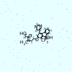 CN(CCOc1cc(-c2cncnc2)c2c(c1)C(O)(C(F)(F)F)c1ccccc1-2)C(=O)CO